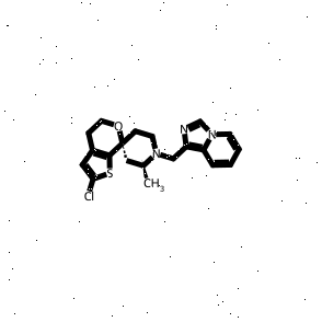 C[C@H]1C[C@@]2(CCN1Cc1ncn3ccccc13)OCCc1cc(Cl)sc12